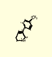 Cc1ccc(C2=CCCNC2)nc1